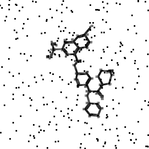 CN(C)c1nc(NCc2ccc(N(Cc3ccccc3)C(=O)C3CCNCC3)cc2)c2ccc(I)cc2n1